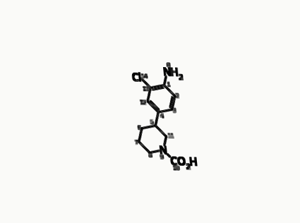 Nc1ccc(C2CCCN(C(=O)O)C2)cc1Cl